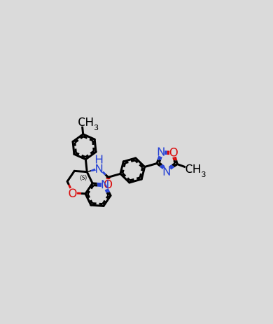 Cc1ccc([C@@]2(NC(=O)c3ccc(-c4noc(C)n4)cc3)CCOc3cccnc32)cc1